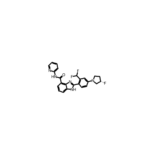 O=C(Nc1ccccn1)c1cccc2[nH]c(-c3ccc(N4CC[C@H](F)C4)cc3C(F)F)nc12